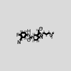 CN(C)CCCn1nc2c(c1C=O)CN(C(=O)Nc1ccc(F)c(C#N)c1)CC2